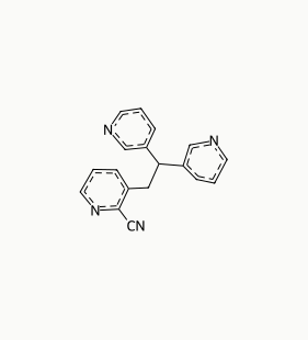 N#Cc1ncccc1CC(c1cccnc1)c1cccnc1